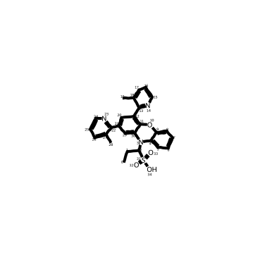 CCC(N1c2ccccc2Oc2c(-c3ncccc3C)cc(-c3ncccc3C)cc21)S(=O)(=O)O